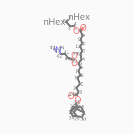 CCCCCCC(CCCCCC)CCOC(=O)CCCCCCCC(CCCCCCCC(=O)OCC12CC3CC(CC(C3)C1)C2)OC(=O)CCCN(C)C